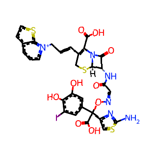 Nc1nc(C(O/N=C\C(=O)N[C@H]2C(=O)N3C(C(=O)O)=C(/C=C/C[n+]4cccc5ccsc54)CS[C@H]23)(C(=O)O)c2cc(O)c(O)c(I)c2)cs1